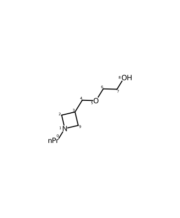 CCCN1CC(COCCO)C1